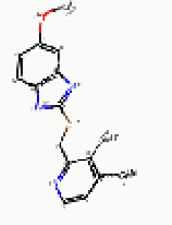 COc1ccnc(CSc2nc3cc(OC(F)(F)F)ccc3[nH]2)c1OC